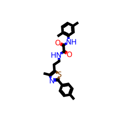 Cc1ccc(-c2nc(C)c(CCNC(=O)C(=O)Nc3cc(C)ccc3C)s2)cc1